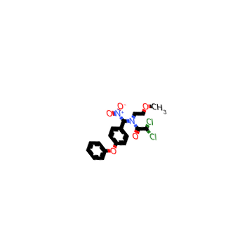 COCCN(C(=O)C(Cl)Cl)C(c1ccc(Oc2ccccc2)cc1)[N+](=O)[O-]